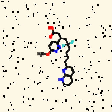 COc1ccc([C@@H](CC(=O)O)CC(F)(F)CCCCc2ccc3c(n2)NCCC3)nn1